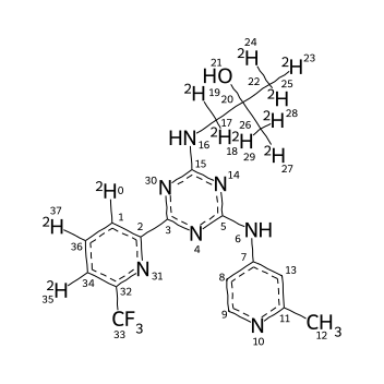 [2H]c1c(-c2nc(Nc3ccnc(C)c3)nc(NC([2H])([2H])C(O)(C([2H])([2H])[2H])C([2H])([2H])[2H])n2)nc(C(F)(F)F)c([2H])c1[2H]